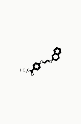 O=C(O)C(=O)c1ccc(OCCOC2CCc3ccccc3C2)cc1